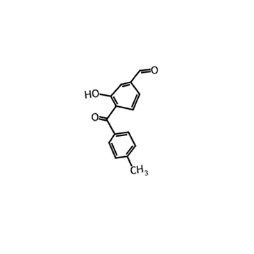 Cc1ccc(C(=O)c2ccc(C=O)cc2O)cc1